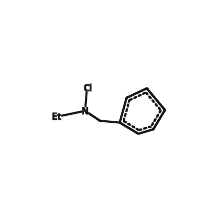 CCN(Cl)Cc1ccccc1